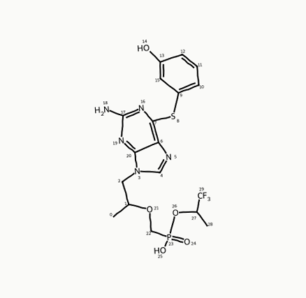 CC(Cn1cnc2c(Sc3cccc(O)c3)nc(N)nc21)OCP(=O)(O)OC(C)C(F)(F)F